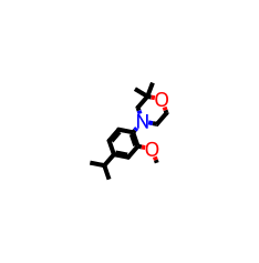 COc1cc(C(C)C)ccc1N1CCOC(C)(C)C1